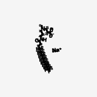 CN(CCCNC(=O)CCC(F)(F)C(F)(F)C(F)(F)C(F)(F)C(F)(F)C(F)(F)C(F)(F)C(F)(F)F)CCC(=O)[O-].[Na+]